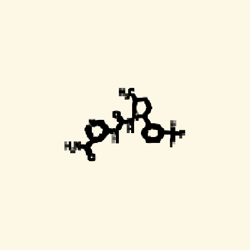 CC1CCC(c2cccc(C(F)(F)F)c2)N(NC(=O)Nc2cncc(C(N)=O)c2)C1